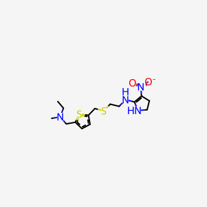 CCN(C)Cc1ccc(CSCCNC2=C([N+](=O)[O-])CCN2)s1